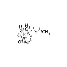 CCCCC1(C)CCNS(=O)(=O)C1C